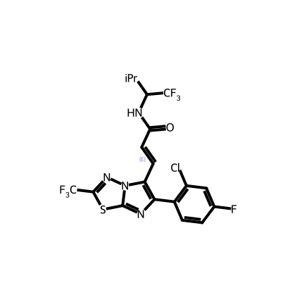 CC(C)C(NC(=O)/C=C/c1c(-c2ccc(F)cc2Cl)nc2sc(C(F)(F)F)nn12)C(F)(F)F